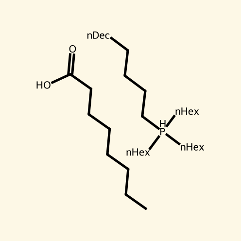 CCCCCCCC(=O)O.CCCCCCCCCCCCCC[PH](CCCCCC)(CCCCCC)CCCCCC